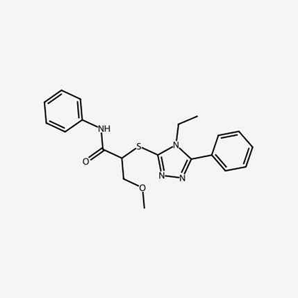 CCn1c(SC(COC)C(=O)Nc2ccccc2)nnc1-c1ccccc1